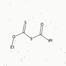 CCOC(=S)SC(=O)C(C)C